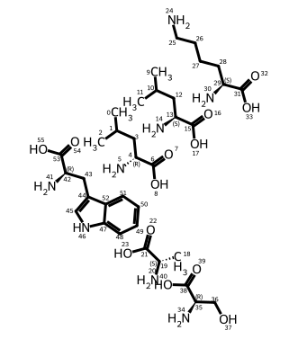 CC(C)C[C@@H](N)C(=O)O.CC(C)C[C@H](N)C(=O)O.C[C@H](N)C(=O)O.NCCCC[C@H](N)C(=O)O.N[C@H](CO)C(=O)O.N[C@H](Cc1c[nH]c2ccccc12)C(=O)O